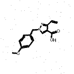 C=Cc1nn(Cc2ccc(OC)cc2)cc1C(=O)O